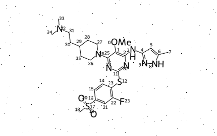 COc1c(Nc2cc(C)[nH]n2)nc(Sc2ccc(S(C)(=O)=O)cc2F)nc1N1CCC(CCN(C)C)CC1